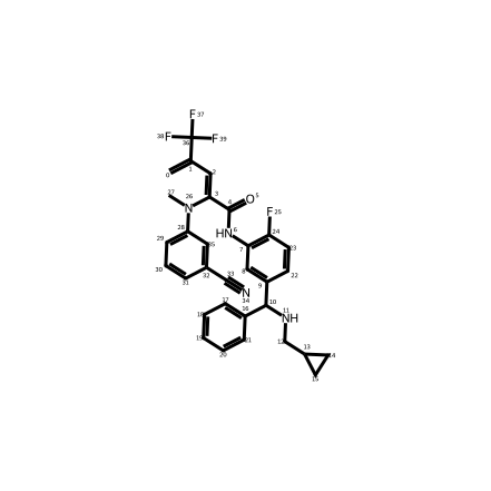 C=C(/C=C(/C(=O)Nc1cc(C(NCC2CC2)c2ccccc2)ccc1F)N(C)c1cccc(C#N)c1)C(F)(F)F